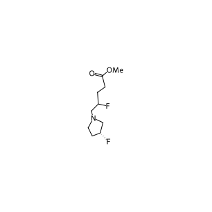 COC(=O)CCC(F)CN1CC[C@@H](F)C1